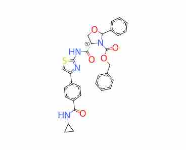 O=C(NC1CC1)c1ccc(-c2csc(NC(=O)[C@@H]3COC(c4ccccc4)N3C(=O)OCc3ccccc3)n2)cc1